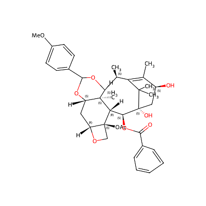 COc1ccc(C2O[C@H]3C[C@H]4OC[C@@]4(OC(C)=O)[C@H]4[C@H](OC(=O)c5ccccc5)[C@]5(O)C[C@H](O)C(C)=C([C@H](C)[C@H](O2)[C@]34C)C5(C)C)cc1